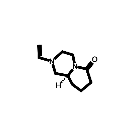 C=CN1CCN2C(=O)CCC[C@H]2C1